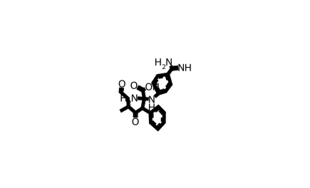 CC(CC=O)C(=O)C(c1ccccc1)C(N)(Nc1ccc(C(=N)N)cc1)C(=O)O